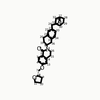 O=C1c2ccc(OC[C@@H]3CCCO3)cc2CCN1[C@H]1CCc2cc(CN3CC4CCC3CC4)ccc2C1